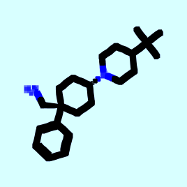 CC(C)(C)C1CCN([C@H]2CC[C@@](CN)(c3ccccc3)CC2)CC1